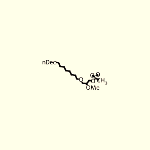 CCCCCCCCCCCCCCCCCCOCC(COS(C)(=O)=O)OC